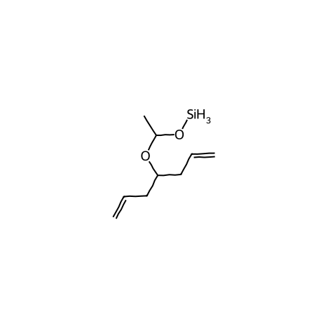 C=CCC(CC=C)OC(C)O[SiH3]